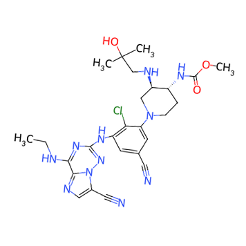 CCNc1nc(Nc2cc(C#N)cc(N3CC[C@@H](NC(=O)OC)[C@H](NCC(C)(C)O)C3)c2Cl)nn2c(C#N)cnc12